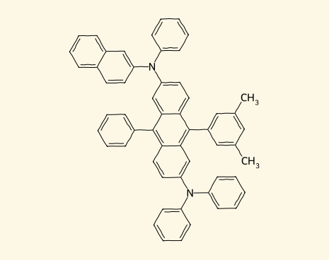 Cc1cc(C)cc(-c2c3ccc(N(c4ccccc4)c4ccc5ccccc5c4)cc3c(-c3ccccc3)c3ccc(N(c4ccccc4)c4ccccc4)cc23)c1